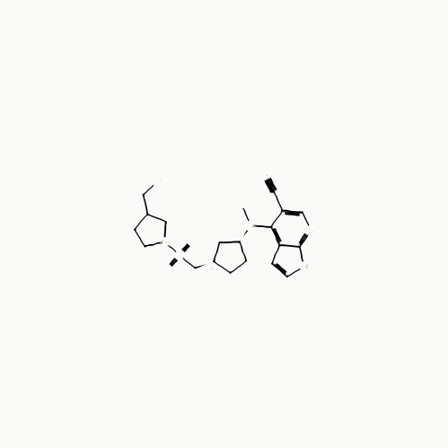 CN(c1c(C#N)cnc2[nH]ccc12)[C@H]1CC[C@@H](CS(=O)(=O)N2CCC(CO)C2)C1